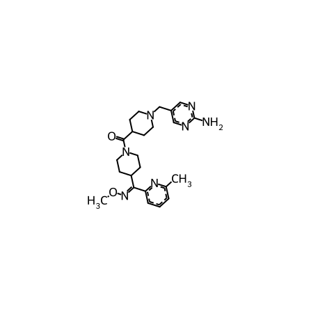 CON=C(c1cccc(C)n1)C1CCN(C(=O)C2CCN(Cc3cnc(N)nc3)CC2)CC1